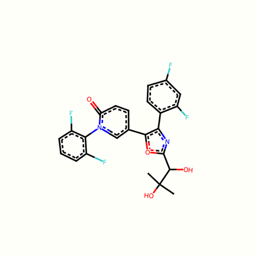 CC(C)(O)C(O)c1nc(-c2ccc(F)cc2F)c(-c2ccc(=O)n(-c3c(F)cccc3F)c2)o1